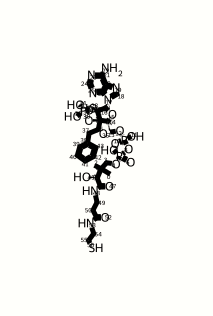 CC(C)(COP(=O)(O)OP(=O)(O)OC[C@H]1O[C@@H](n2cnc3c(N)ncnc32)[C@H](O)[C@@]1(OP(=O)(O)O)C(=O)Cc1ccccc1)[C@@H](O)C(=O)NCCC(=O)NCCS